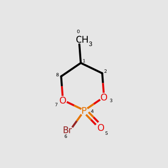 CC1COP(=O)(Br)OC1